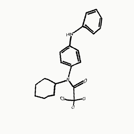 O=C(N(c1ccc(Nc2ccccc2)cc1)C1CCCCC1)C(Cl)(Cl)Cl